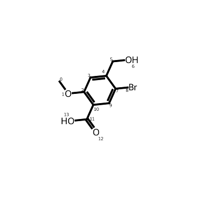 COc1cc(CO)c(Br)cc1C(=O)O